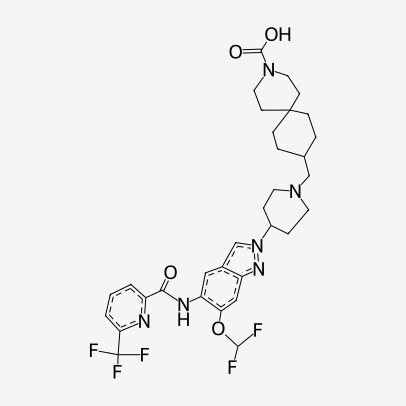 O=C(Nc1cc2cn(C3CCN(CC4CCC5(CC4)CCN(C(=O)O)CC5)CC3)nc2cc1OC(F)F)c1cccc(C(F)(F)F)n1